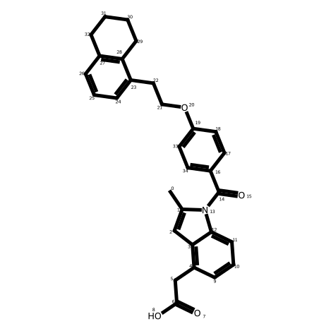 Cc1cc2c(CC(=O)O)cccc2n1C(=O)c1ccc(OCCc2cccc3c2CCCC3)cc1